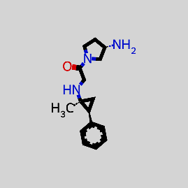 C[C@]1(NCC(=O)N2CC[C@H](N)C2)C[C@H]1c1ccccc1